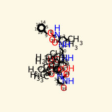 CC(C)C[C@H](NC(=O)OCc1ccccc1)C(=O)NCCCN[C@@H](CO)[C@@H](O)C1O[C@@H](n2ccc(=O)[nH]c2=O)[C@H](O[Si](C)(C)C(C)(C)C)[C@@H]1O[Si](C)(C)C(C)(C)C